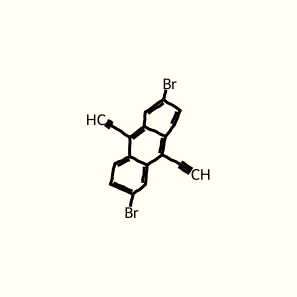 C#Cc1c2ccc(Br)cc2c(C#C)c2ccc(Br)cc12